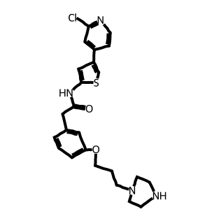 O=C(Cc1cccc(OCCCN2CCNCC2)c1)Nc1cc(-c2ccnc(Cl)c2)cs1